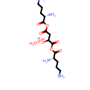 NCCC[C@H](N)C(=O)OC(=O)CC(O)C(=O)OC(=O)[C@@H](N)CCCN.O.O